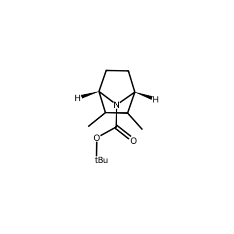 CC1C(C)[C@@H]2CC[C@H]1N2C(=O)OC(C)(C)C